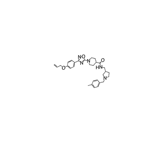 C=CCOc1ccc(-c2noc(N3CCC(C(=O)NCC4CCN(Cc5ccc(C)cc5)C4)CC3)n2)cc1